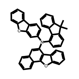 CC1(C)c2ccccc2-c2c(N(c3ccc4c(c3)oc3ccccc34)c3cc4ccccc4c4oc5ccccc5c34)cccc21